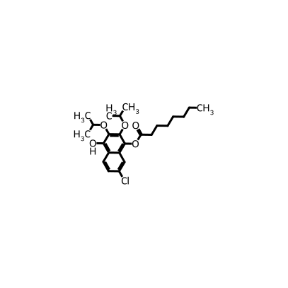 CCCCCCCC(=O)Oc1c(OC(C)C)c(OC(C)C)c(O)c2ccc(Cl)cc12